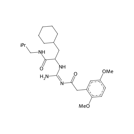 COc1ccc(OC)c(CC(=O)N=C(N)NC(CC2CCCCC2)C(=O)NCC(C)C)c1